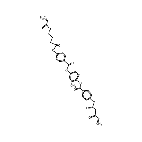 C=CC(=O)CC(=O)Oc1ccc(C(=O)Oc2ccc(OC(=O)c3ccc(OC(=O)CCCOC(=O)C=C)cc3)cc2C)cc1